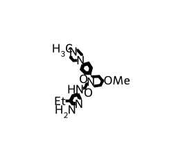 CCc1cc(NC(=O)C(=O)N2CCC(OC)C[C@H]2c2ccc(N3CCN(C)CC3)cc2)cnc1N